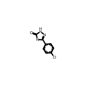 O=C1[N]C(c2ccc(Cl)cc2)=NN1